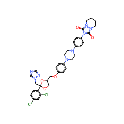 O=c1n(-c2ccc(N3CCN(c4ccc(OCC5COC(Cn6cncn6)(c6ccc(Cl)cc6Cl)O5)cc4)CC3)cc2)c(=O)n2n1CCCC2